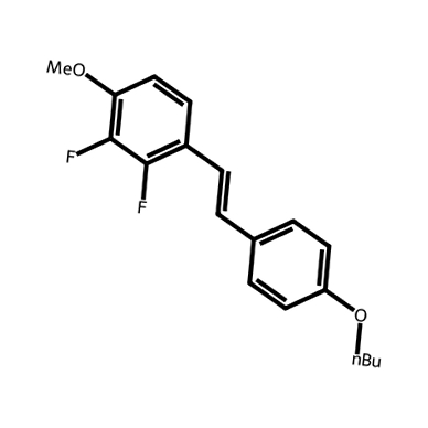 CCCCOc1ccc(C=Cc2ccc(OC)c(F)c2F)cc1